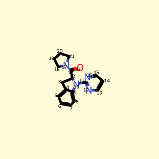 O=C(C1Cc2ccccc2N1c1ncccn1)N1CCCC1